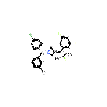 CC(C)(F)[C@@H](c1cc(F)cc(F)c1)C1CN([C@@H](c2ccc(Cl)cc2)c2cccc(C#N)c2)C1